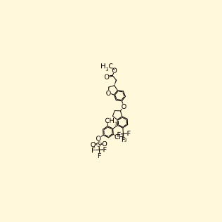 COC(=O)C[C@@H]1COc2cc(O[C@@H]3CCc4c3ccc(C(F)(F)F)c4-c3c(C)cc(OS(=O)(=O)C(F)(F)F)cc3C)ccc21